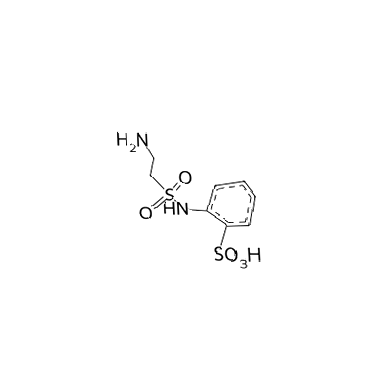 NCCS(=O)(=O)Nc1ccccc1S(=O)(=O)O